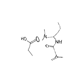 C=C(C)C(=O)NC(CC)N(C)C.CCC(=O)O